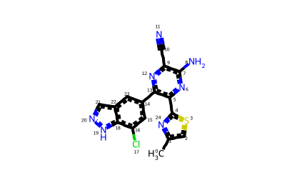 Cc1csc(-c2nc(N)c(C#N)nc2-c2cc(Cl)c3[nH]ncc3c2)n1